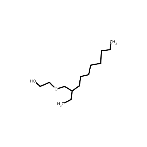 CCCCCCCCC(CC)COCCO